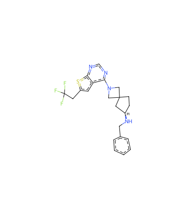 FC(F)(F)Cc1cc2c(N3CC4(CC[C@@H](NCc5ccccc5)C4)C3)ncnc2s1